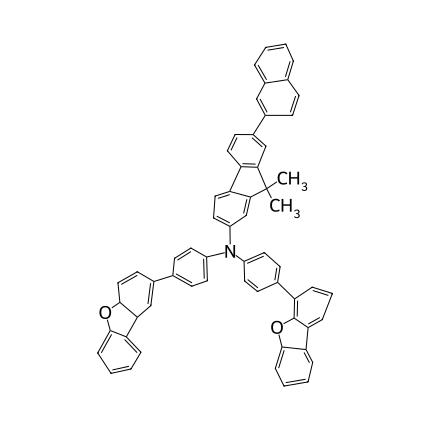 CC1(C)c2cc(-c3ccc4ccccc4c3)ccc2-c2ccc(N(c3ccc(C4=CC5c6ccccc6OC5C=C4)cc3)c3ccc(-c4cccc5c4oc4ccccc45)cc3)cc21